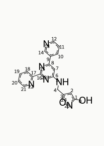 Oc1cc(CNc2cc(-c3cccnc3)nc(-c3ccccn3)n2)on1